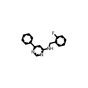 Fc1ccccc1CNc1cc(-c2ccccc2)ncn1